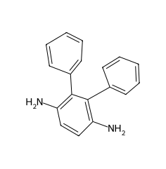 Nc1ccc(N)c(-c2ccccc2)c1-c1ccccc1